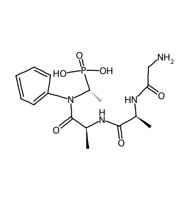 C[C@H](NC(=O)CN)C(=O)N[C@@H](C)C(=O)N(c1ccccc1)[C@@H](C)P(=O)(O)O